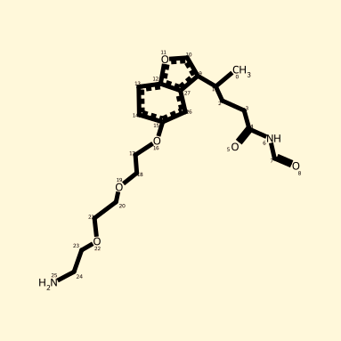 CC(CCC(=O)NC=O)c1coc2ccc(OCCOCCOCCN)cc12